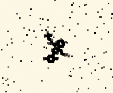 [CH2]CCC1(c2ccccc2)SC(c2cc(F)ccc2F)=NN1C(=O)NOCC(F)(F)F